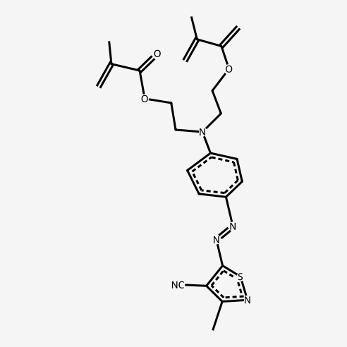 C=C(C)C(=C)OCCN(CCOC(=O)C(=C)C)c1ccc(/N=N/c2snc(C)c2C#N)cc1